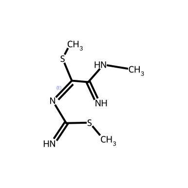 CNC(=N)/C(=N\C(=N)SC)SC